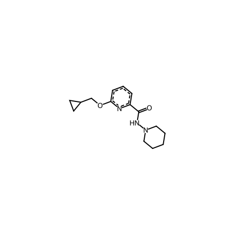 O=C(NN1CCCCC1)c1cccc(OCC2CC2)n1